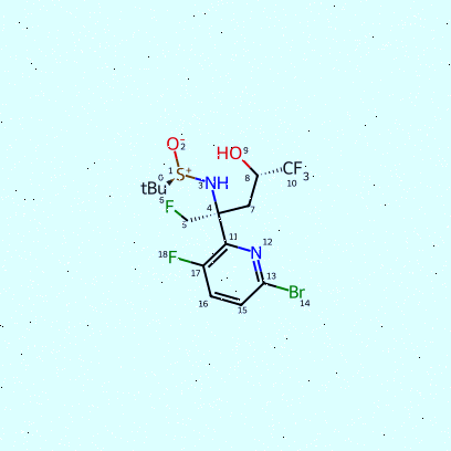 CC(C)(C)[S@@+]([O-])N[C@@](CF)(C[C@H](O)C(F)(F)F)c1nc(Br)ccc1F